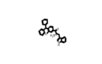 N[C@@H](Cc1c[nH]c2ccccc12)C(=O)c1ccc([C](c2ccccc2)c2ccccc2)c(Cl)c1